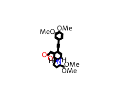 COc1ccc(C#CC2=C[C@@H]3C[C@@]4(OC(=O)C=C24)[C@H]2CCC(C(OC)OC)N32)cc1OC